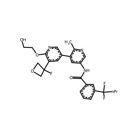 CCCC(F)(F)c1cccc(C(=O)Nc2cnc(C)c(-c3cnc(OCCO)c(C4(F)COC4)c3)c2)c1